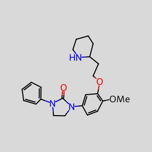 COc1ccc(N2CCN(c3ccccc3)C2=O)cc1OCCC1CCCCN1